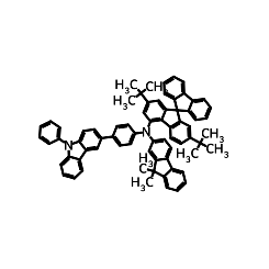 CC(C)(C)c1ccc2c(c1)C1(c3ccccc3-c3ccccc31)c1cc(C(C)(C)C)cc(N(c3ccc(-c4ccc5c(c4)c4ccccc4n5-c4ccccc4)cc3)c3ccc4c(c3)C(C)(C)c3ccccc3-4)c1-2